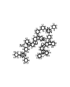 N#Cc1cc(-c2nc(-c3ccccc3)nc(-c3cccc(-c4cccc(-n5c6ccccc6c6c7oc8ccc9c(c%10ccccc%10n9-c9ccc(-c%10nc(-c%11ccccc%11)nc(-c%11ccccc%11)n%10)cc9C#N)c8c7ccc65)c4)c3)n2)ccc1-n1c2ccccc2c2cc3c(cc21)oc1ccc2c(c4ccccc4n2-c2ccccc2)c13